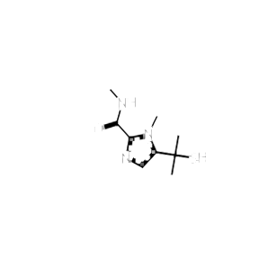 CNC(=O)c1ncc(C(C)(C)S)n1C